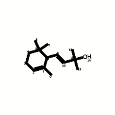 CC1=CCCC(C)(C)C1C=CC(C)(C)O